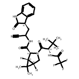 CC(C)(C)[C@H](NC(=O)C(F)(F)F)C(=O)N1C[C@H]2[C@@H]([C@H]1C(=O)NC(C#N)C[C@H]1C(=O)Nc3ccccc31)C2(C)C